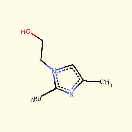 CCCCc1nc(C)cn1CCO